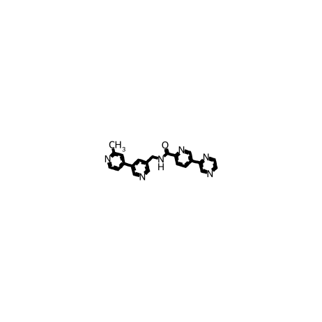 Cc1cc(-c2cncc(CNC(=O)c3ccc(-c4cnccn4)cn3)c2)ccn1